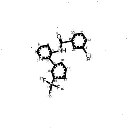 O=C(Nc1cccnc1-c1cccc(C(F)(F)F)c1)c1cccc(Cl)c1